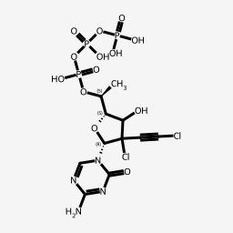 C[C@H](OP(=O)(O)OP(=O)(O)OP(=O)(O)O)[C@H]1O[C@@H](n2cnc(N)nc2=O)C(Cl)(C#CCl)C1O